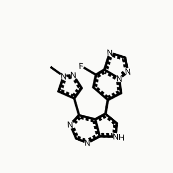 Cn1cc(-c2ncnc3[nH]cc(-c4cc(F)c5ncnn5c4)c23)cn1